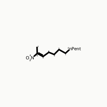 CCCCCCCCCC=C(C)[N+](=O)[O-]